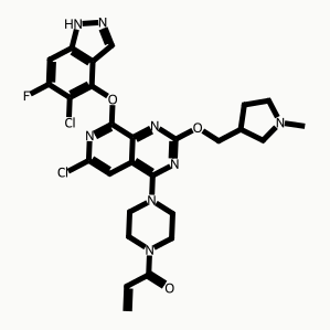 C=CC(=O)N1CCN(c2nc(OCC3CCN(C)C3)nc3c(Oc4c(Cl)c(F)cc5[nH]ncc45)nc(Cl)cc23)CC1